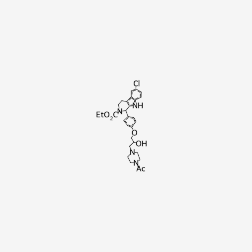 CCOC(=O)N1CCc2c([nH]c3ccc(Cl)cc23)C1c1ccc(OCC(O)CN2CCN(C(C)=O)CC2)cc1